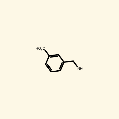 [NH]Cc1cccc(C(=O)O)c1